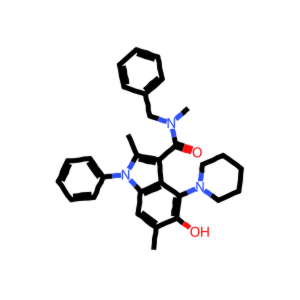 Cc1cc2c(c(C(=O)N(C)Cc3ccccc3)c(C)n2-c2ccccc2)c(N2CCCCC2)c1O